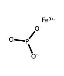 [Fe+3].[O-]P([O-])[O-]